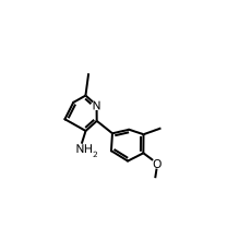 COc1ccc(-c2nc(C)ccc2N)cc1C